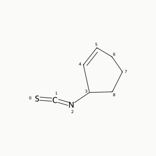 S=C=NC1C=CCCC1